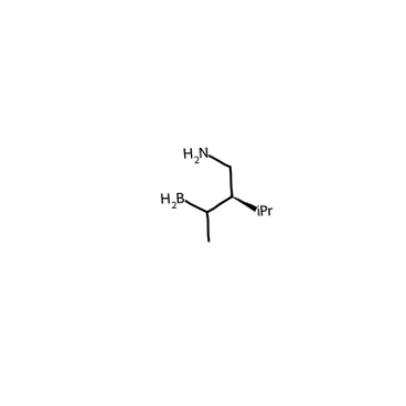 BC(C)[C@@H](CN)C(C)C